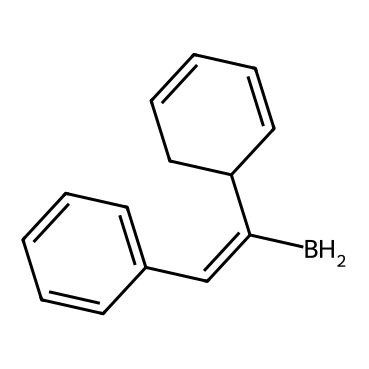 B/C(=C/c1ccccc1)C1C=CC=CC1